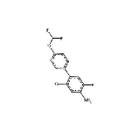 Nc1cc(Cl)c(-c2ccc(OC(F)F)nc2)cc1F